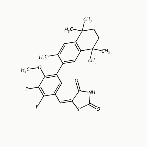 COc1c(-c2cc3c(cc2C)C(C)(C)CCC3(C)C)cc(/C=C2/SC(=O)NC2=O)c(F)c1F